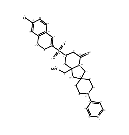 COCC12CN(S(=O)(=O)C3=Cc4ccc(Cl)cc4OC3)CC(=O)N1CC1(CCN(c3ccncc3)CC1)O2